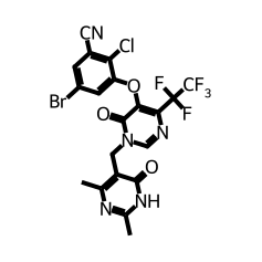 Cc1nc(C)c(Cn2cnc(C(F)(F)C(F)(F)F)c(Oc3cc(Br)cc(C#N)c3Cl)c2=O)c(=O)[nH]1